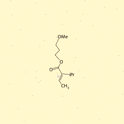 C/C=C(/C(=O)OCCCOC)C(C)C